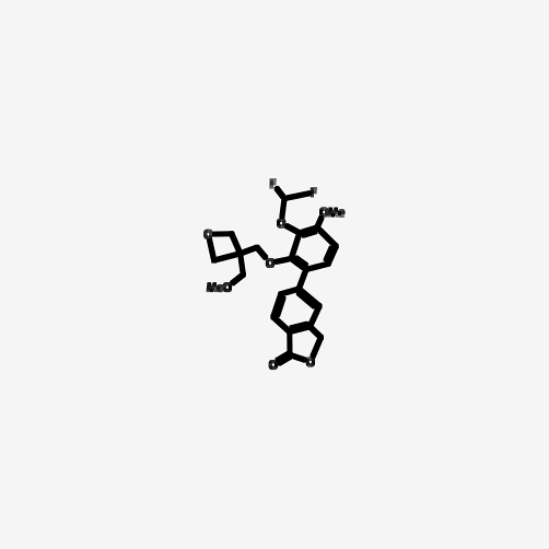 COCC1(COc2c(-c3ccc4c(c3)COC4=O)ccc(OC)c2OC(F)F)COC1